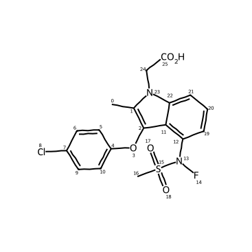 Cc1c(Oc2ccc(Cl)cc2)c2c(N(F)S(C)(=O)=O)cccc2n1CC(=O)O